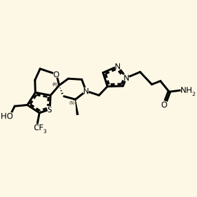 C[C@H]1C[C@@]2(CCN1Cc1cnn(CCCC(N)=O)c1)OCCc1c2sc(C(F)(F)F)c1CO